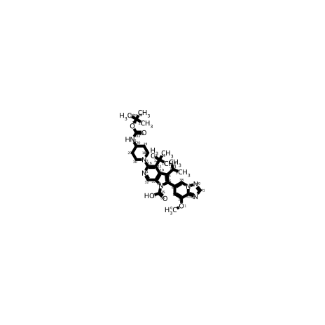 COc1cc(-c2c(C(C)C)c3c(C(C)(C)C)c(N4CCC(NC(=O)OC(C)(C)C)CC4)ncc3n2C(=O)O)cn2ncnc12